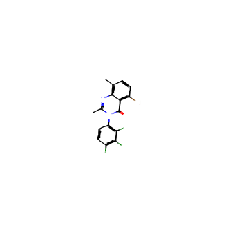 Cc1ccc(S)c2c(=O)n(-c3ccc(F)c(F)c3F)c(C)nc12